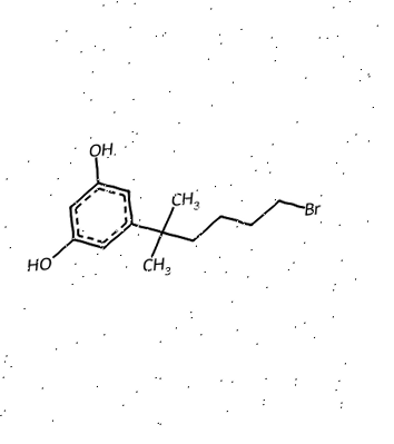 CC(C)(CCCCBr)c1cc(O)cc(O)c1